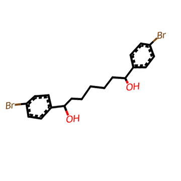 OC(CCCCCC(O)c1ccc(Br)cc1)c1ccc(Br)cc1